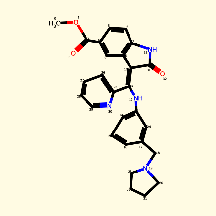 COC(=O)c1ccc2c(c1)/C(=C(/Nc1cccc(CN3CCCC3)c1)c1ccccn1)C(=O)N2